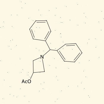 CC(=O)OC1CN(C(c2ccccc2)c2ccccc2)C1